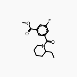 CCC1CCCCN1C(=O)c1cc(F)cc(C(=O)OC)c1